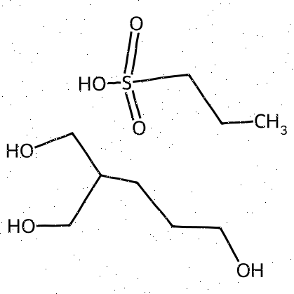 CCCS(=O)(=O)O.OCCCC(CO)CO